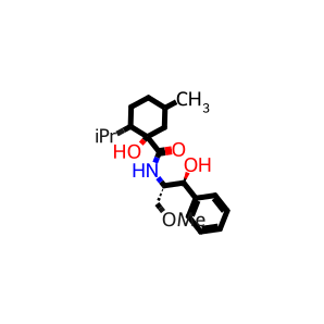 COC[C@H](NC(=O)C1(O)CC(C)CCC1C(C)C)[C@@H](O)c1ccccc1